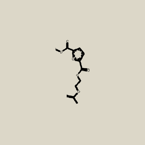 C=C(C)OCCOC(=O)c1ccc(C(=O)OI)o1